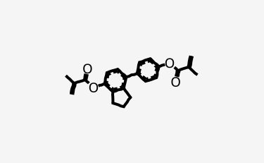 C=C(C)C(=O)Oc1ccc(-c2ccc(OC(=O)C(=C)C)c3c2CCC3)cc1